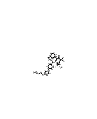 O=C(NC1(C23CC(C(=O)O)(C2)C3)CC1)c1cccc2ccn(Cc3ccc(-c4cnn(CCCO)c4)cn3)c12